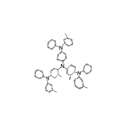 Cc1cccc(N(c2ccccc2)c2ccc(N(C3=C[C@H](C)C(N(c4ccccc4)c4cccc(C)c4)C=C3)C3C=CC(N(c4ccccc4)c4cccc(C)c4)CC3C)cc2)c1